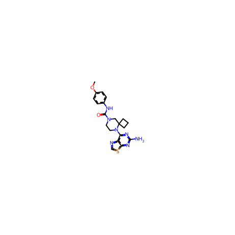 COc1ccc(NC(=O)N2CCN(c3nc(N)nc4scnc34)C3(CCC3)C2)cc1